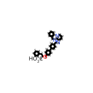 O=C(O)[C@@H](Cc1ccccc1)Oc1ccc(-c2ccc(-c3nc4cccnc4n3Cc3ccccc3)cc2)cc1